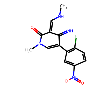 CN/C=C1\C(=N)C(c2cc([N+](=O)[O-])ccc2F)=CN(C)C1=O